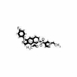 CCn1cc(S(=O)(=O)N2CCC3=Cc4c(cnn4-c4ccc(F)cc4)C[C@]3(C(C)=O)C2)cn1